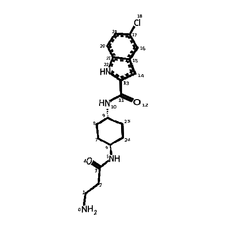 NCCC(=O)N[C@H]1CC[C@H](NC(=O)c2cc3cc(Cl)ccc3[nH]2)CC1